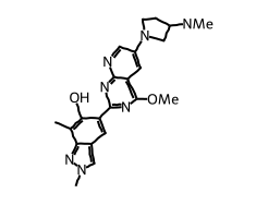 CNC1CCN(c2cnc3nc(-c4cc5cn(C)nc5c(C)c4O)nc(OC)c3c2)C1